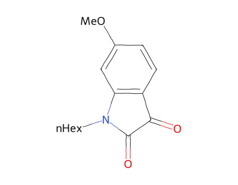 CCCCCCN1C(=O)C(=O)c2ccc(OC)cc21